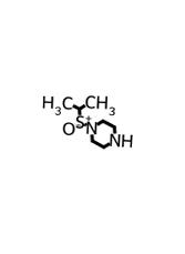 CC(C)[S+]([O-])N1CCNCC1